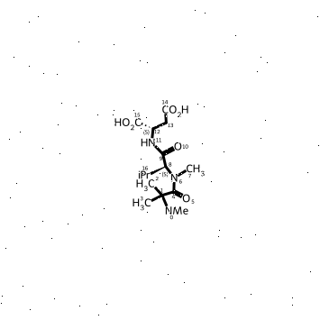 CNC(C)(C)C(=O)N(C)[C@H](C(=O)N[C@@H](CC(=O)O)C(=O)O)C(C)C